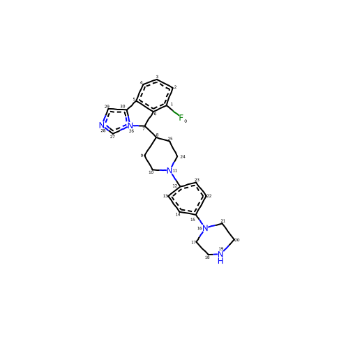 Fc1cccc2c1C(C1CCN(c3ccc(N4CCNCC4)cc3)CC1)n1cncc1-2